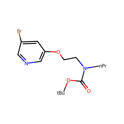 CCCN(CCOc1cncc(Br)c1)C(=O)OC(C)(C)C